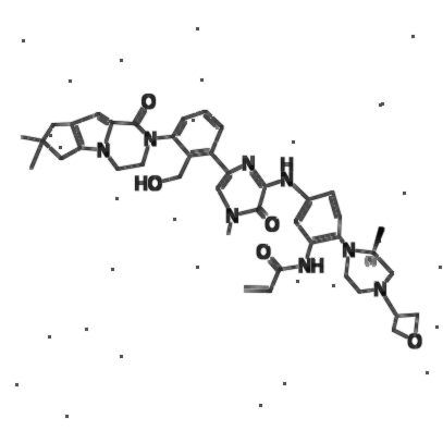 C=CC(=O)Nc1cc(Nc2nc(-c3cccc(N4CCn5c(cc6c5CC(C)(C)C6)C4=O)c3CO)cn(C)c2=O)ccc1N1CCN(C2COC2)C[C@@H]1C